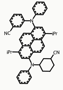 CC(C)c1cc(N(c2ccccc2)c2cccc(C#N)c2)c2ccc3c(C(C)C)cc(N(c4ccccc4)C4CCCC(C#N)C4)c4ccc1c2c34